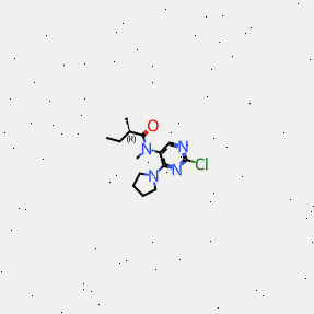 CC[C@@H](C)C(=O)N(C)c1cnc(Cl)nc1N1CCCC1